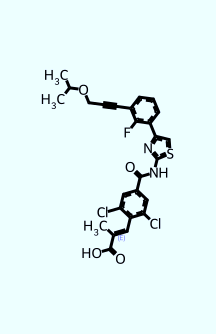 C/C(=C\c1c(Cl)cc(C(=O)Nc2nc(-c3cccc(C#CCOC(C)C)c3F)cs2)cc1Cl)C(=O)O